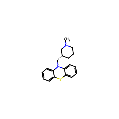 CN1CCC[C@H](CN2c3ccccc3Sc3ccccc32)C1